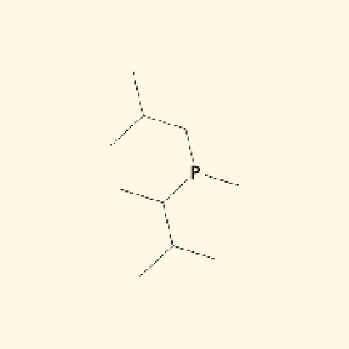 CC(C)CP(C)C(C)C(C)C